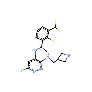 C[C@@H](Nc1cc(Cl)nnc1NCC1CNC1)c1cccc(C(F)F)c1F